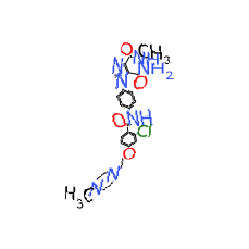 CNC(=O)c1ncn(-c2ccc(NC(=O)c3ccc(OCCN4CCN(C)CC4)cc3Cl)cc2)c1C(N)=O